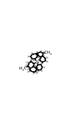 Cc1cccc2c([Si](c3ccccc3)(c3ccccc3)c3ccc(C)c4ccccc34)cccc12